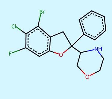 Fc1cc2c(c(Br)c1Cl)CC(c1ccccc1)(C1COCCN1)O2